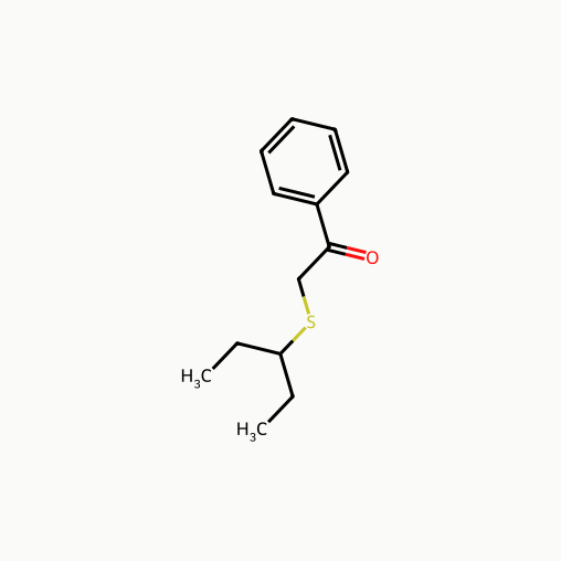 CCC(CC)SCC(=O)c1ccccc1